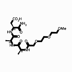 COCCOCCOCC(=O)N[C@@H](C)C(=O)N[C@@H](C)C(=O)N[C@@H](CC(=O)O)C(N)=O